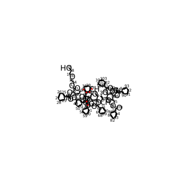 C/C(=C\[C@H]1O[C@@H](/C(C)=C/C[C@H]2O[C@@H](OCCOCCO)[C@H](OC(=O)c3ccccc3)[C@@H](O)[C@@H]2OC(=O)c2ccccc2)[C@H](OC(=O)c2ccccc2)[C@@H](OC(=O)c2ccccc2)[C@@H]1OC(=O)c1ccccc1)[C@@H]1O[C@H](COC(=O)c2ccccc2)[C@@H](OC(=O)c2ccccc2)[C@H](O)[C@H]1OC(=O)c1ccccc1